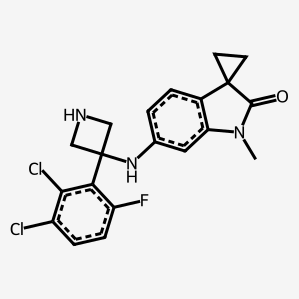 CN1C(=O)C2(CC2)c2ccc(NC3(c4c(F)ccc(Cl)c4Cl)CNC3)cc21